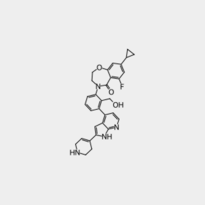 O=C1c2c(F)cc(C3CC3)cc2OCCN1c1cccc(-c2ccnc3[nH]c(C4=CCNCC4)cc23)c1CO